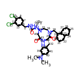 CC(C)N(C(=O)NCc1ccc(Cl)c(Cl)c1)N1CCN(Cc2cccc3ccccc23)C(=O)[C@H](Cc2ccc(N(C)C)cc2)NC(=O)C1